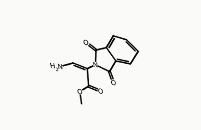 COC(=O)/C(=C\N)N1C(=O)c2ccccc2C1=O